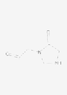 O=[C]CN1CNCC1=O